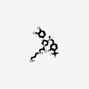 CN(Cc1ccc(C(F)(F)F)c(F)c1)[C@H]1CN(C(=O)CNCCCO)C[C@@H]1c1ccc(Cl)c(Cl)c1